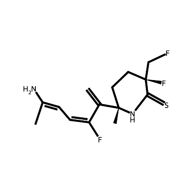 C=C(/C(F)=C\C=C(/C)N)[C@]1(C)CC[C@](F)(CF)C(=S)N1